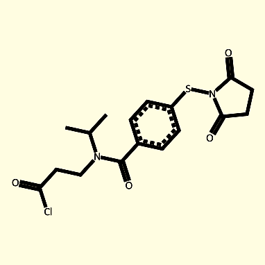 CC(C)N(CCC(=O)Cl)C(=O)c1ccc(SN2C(=O)CCC2=O)cc1